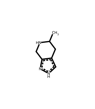 CC1Cc2c[nH]nc2CN1